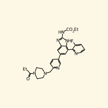 CCOC(=O)Nc1nc2cc(-c3ccc(CN4CCN(C(=O)CC)CC4)nc3)cc(-c3ncccc3F)c2[nH]1